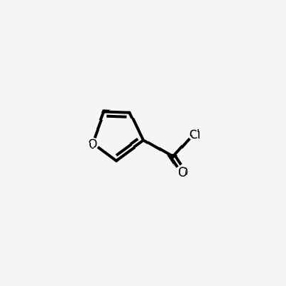 O=C(Cl)c1ccoc1